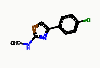 O=[C]Nc1nc(-c2ccc(Cl)cc2)cs1